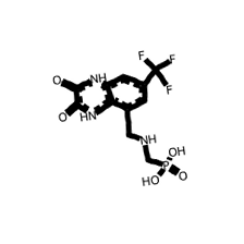 O=c1[nH]c2cc(C(F)(F)F)cc(CNCP(=O)(O)O)c2[nH]c1=O